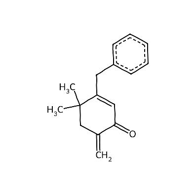 C=C1CC(C)(C)C(Cc2ccccc2)=CC1=O